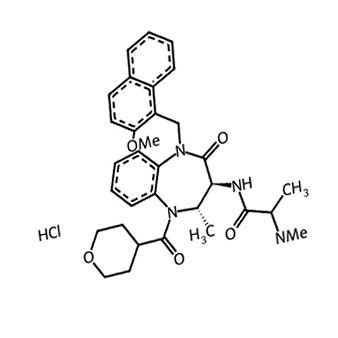 CNC(C)C(=O)N[C@@H]1C(=O)N(Cc2c(OC)ccc3ccccc23)c2ccccc2N(C(=O)C2CCOCC2)[C@H]1C.Cl